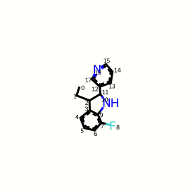 CCC1c2cccc(F)c2NC1c1cccnc1